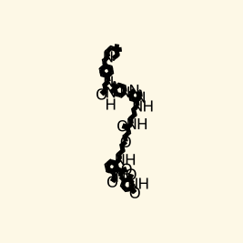 CC1(C)CCN(Cc2ccc(N3CC(=O)NC4(CCN(c5cc(NCCCNC(=O)CCOCCCNc6cccc7c6C(=O)N(C6CCC(=O)NC6=O)C7=O)ncn5)CC4)C3)cc2)CC1